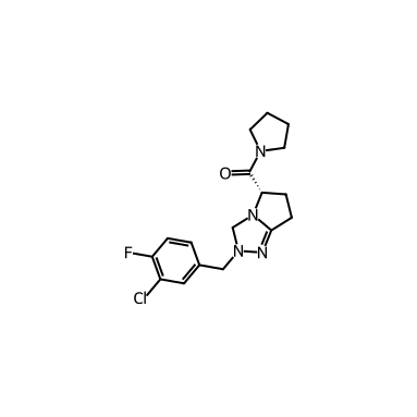 O=C([C@@H]1CCC2=NN(Cc3ccc(F)c(Cl)c3)CN21)N1CCCC1